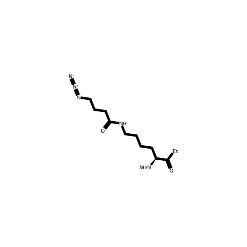 CCC(=O)[C@H](CCCCNC(=O)CCCN=[N+]=[N-])NC